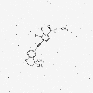 CCOC(=O)c1ccc(C#Cc2ccc3c(c2)C(C)(C)CCS3)c(F)c1F